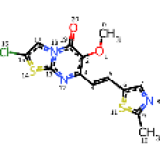 COc1c(/C=C/c2cnc(C)s2)nc2sc(Cl)cn2c1=O